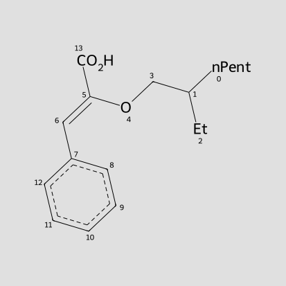 CCCCCC(CC)COC(=Cc1ccccc1)C(=O)O